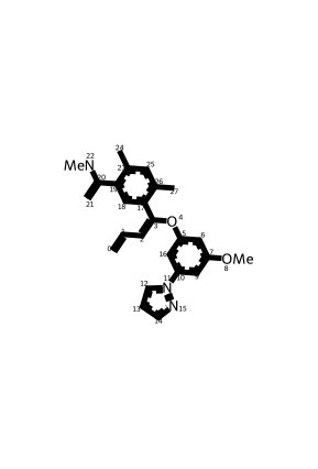 C=C/C=C(/Oc1cc(OC)cc(-n2cccn2)c1)c1cc(C(=C)NC)c(C)cc1C